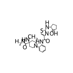 CNC1(C(N)=O)CCN(c2ccccc2NC(=O)c2csc(NC3CCC[C@@H]3O)n2)CC1